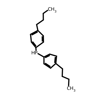 CCCCc1ccc(Pc2ccc(CCCC)cc2)cc1